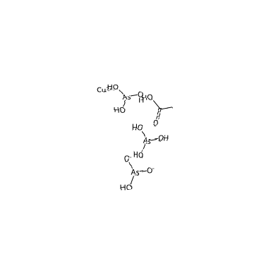 CC(=O)O.O[As](O)O.O[As](O)O.[Cu+2].[O-][As]([O-])O